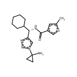 Cc1cc(C(=O)N[C@H](c2cn(C3(N)CC3)nn2)C2CCCCC2)cs1